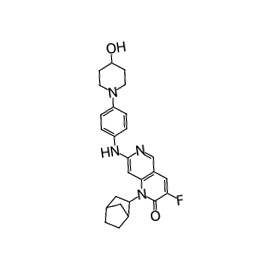 O=c1c(F)cc2cnc(Nc3ccc(N4CCC(O)CC4)cc3)cc2n1C1CC2CCC1C2